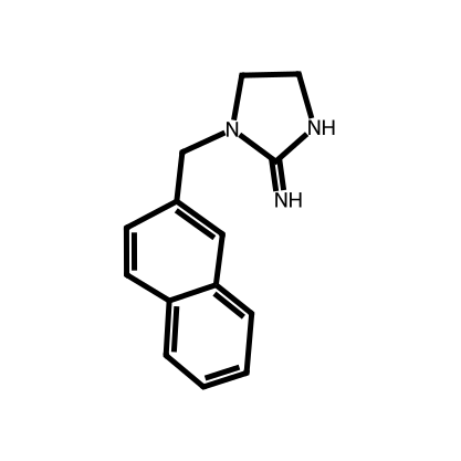 N=C1NCCN1Cc1ccc2ccccc2c1